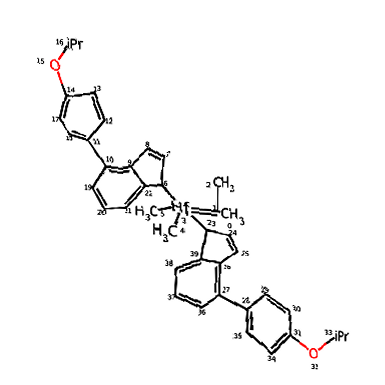 C[C](C)=[Hf]([CH3])([CH3])([CH]1C=Cc2c(-c3ccc(OC(C)C)cc3)cccc21)[CH]1C=Cc2c(-c3ccc(OC(C)C)cc3)cccc21